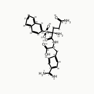 N=C(N)c1ccc(C[C@H](NC(=O)[C@@](N)(CCC(N)=O)S(=O)(=O)c2ccc3ccccc3c2)C(=O)O)cc1